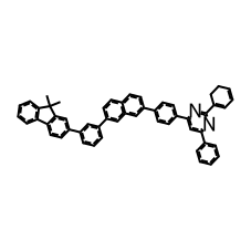 CC1(C)c2ccccc2-c2ccc(-c3cccc(-c4ccc5ccc(-c6ccc(-c7cc(-c8ccccc8)nc(C8=CC=CCC8)n7)cc6)cc5c4)c3)cc21